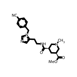 COC(=O)[C@H]1C[C@@H](C(=O)NCCc2cncn2Cc2ccc(C#N)cc2)CN(C)C1